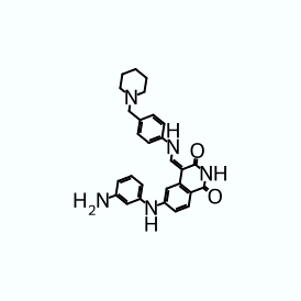 Nc1cccc(Nc2ccc3c(c2)C(=CNc2ccc(CN4CCCCC4)cc2)C(=O)NC3=O)c1